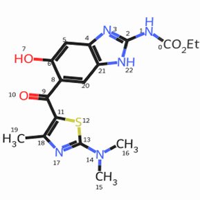 CCOC(=O)Nc1nc2cc(O)c(C(=O)c3sc(N(C)C)nc3C)cc2[nH]1